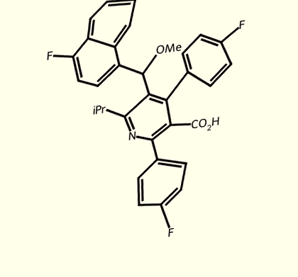 COC(c1c(C(C)C)nc(-c2ccc(F)cc2)c(C(=O)O)c1-c1ccc(F)cc1)c1ccc(F)c2ccccc12